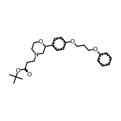 CC(C)(C)OC(=O)CCN1CCOC(c2ccc(OCCCOc3ccccc3)cc2)C1